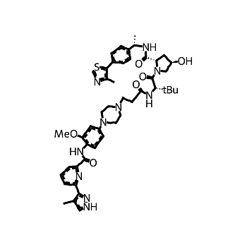 COc1cc(N2CCN(CCC(=O)N[C@H](C(=O)N3C[C@H](O)C[C@H]3C(=O)N[C@@H](C)c3ccc(-c4scnc4C)cc3)C(C)(C)C)CC2)ccc1NC(=O)c1cccc(-c2n[nH]cc2C)n1